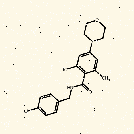 CCc1cc(N2CCOCC2)cc(C)c1C(=O)NCc1ccc(Cl)cc1